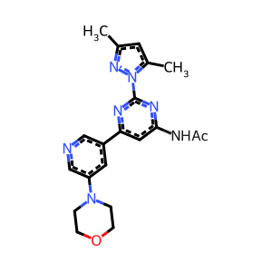 CC(=O)Nc1cc(-c2cncc(N3CCOCC3)c2)nc(-n2nc(C)cc2C)n1